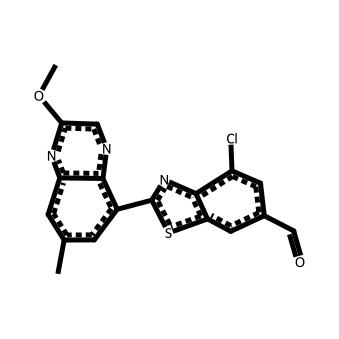 COc1cnc2c(-c3nc4c(Cl)cc(C=O)cc4s3)cc(C)cc2n1